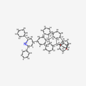 c1ccc(-c2cc(-c3ccc(C4(c5ccccc5)c5ccccc5C5(c6ccccc6)c6ccccc6-c6cccc4c65)cc3)cc(-c3ccccc3)n2)cc1